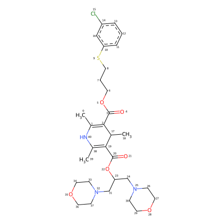 CC1=C(C(=O)OCCCSc2cccc(Cl)c2)C(C)C(C(=O)OC(CN2CCOCC2)CN2CCOCC2)=C(C)N1